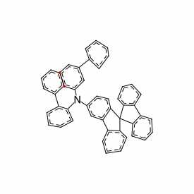 c1ccc(-c2cccc(N(c3ccc4c(c3)-c3ccccc3C43c4ccccc4-c4ccccc43)c3ccccc3-c3ccccc3)c2)cc1